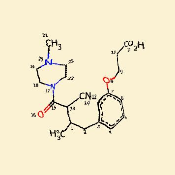 CC(Cc1cccc(OCCC(=O)O)c1)C(C#N)C(=O)N1CCN(C)CC1